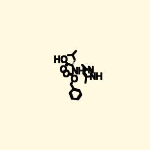 CC(C)C[C@H](NC(=O)OCc1ccccc1)C(=O)O.Cc1cc(C)[nH]n1